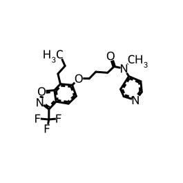 CCCc1c(OCCCC(=O)N(C)c2ccncc2)ccc2c(C(F)(F)F)noc12